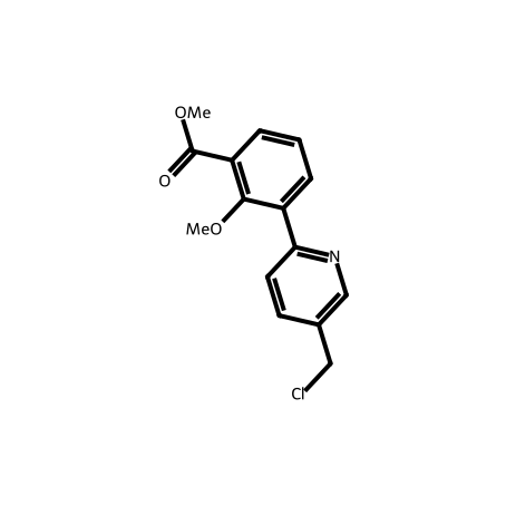 COC(=O)c1cccc(-c2ccc(CCl)cn2)c1OC